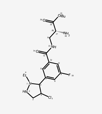 CCN1NCC(Cl)C1c1cc(F)cc(C(=O)NC[C@@H](N)C(=O)OCC(C)C)c1